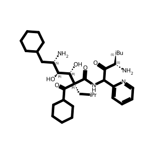 CC[C@H](C)[C@H](N)C(=O)C(NC(=O)[C@@](CC(C)C)(C(=O)C1CCCCC1)[C@@H](O)[C@H](O)[C@@H](N)CC1CCCCC1)c1ccccn1